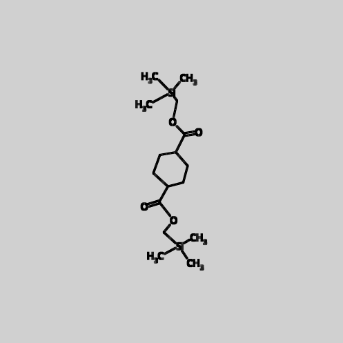 C[Si](C)(C)COC(=O)C1CCC(C(=O)OC[Si](C)(C)C)CC1